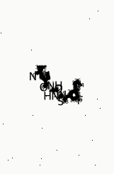 N#CC1(n2ccc(C(=O)NCC(=O)Nc3nc(-c4cc(F)cc(N5CCC5)c4)cs3)c2)CC1